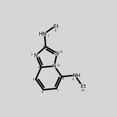 CCNc1nc2cccc(NCC)n2n1